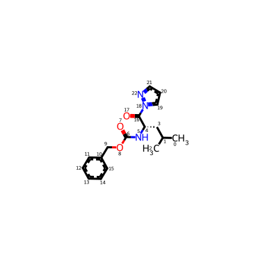 CC(C)C[C@H](NC(=O)OCc1ccccc1)C(=O)n1cccn1